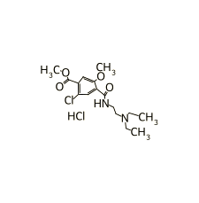 CCN(CC)CCNC(=O)c1cc(Cl)c(C(=O)OC)cc1OC.Cl